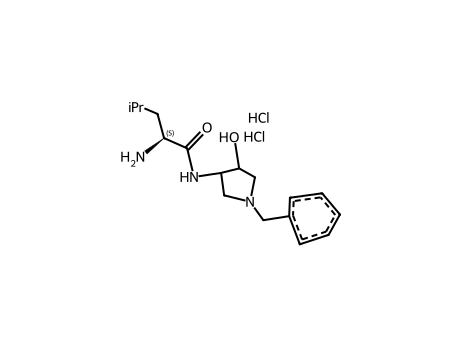 CC(C)C[C@H](N)C(=O)NC1CN(Cc2ccccc2)CC1O.Cl.Cl